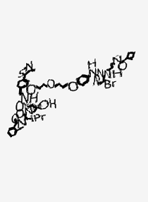 Cc1ncsc1-c1ccc(CNC(=O)[C@@H]2C[C@@H](O)CN2C(=O)C(C(C)C)N2Cc3ccccc3C2=O)c(OCCCCOCCCCOc2ccc(Nc3ncc(Br)c(NCCCN(C)C(=O)C4CCC4)n3)cc2)c1